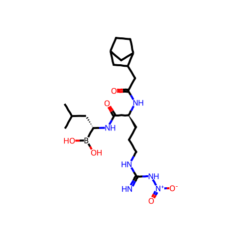 CC(C)C[C@H](NC(=O)[C@H](CCCNC(=N)N[N+](=O)[O-])NC(=O)CC1CC2CCC1C2)B(O)O